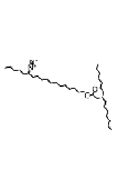 CCCCCCCC(CCCCCCC)CC(=O)OCCCCCCCCCCCCC(CCCCC)=[N+]=[N-]